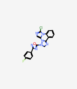 Fc1ccc(-c2noc(N3CN=C4c5ccccc5-n5c(cnc5Cl)N43)n2)cc1